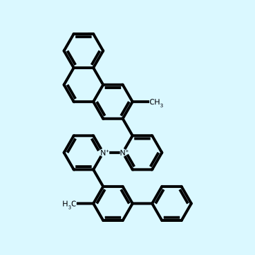 Cc1ccc(-c2ccccc2)cc1-c1cccc[n+]1-[n+]1ccccc1-c1cc2ccc3ccccc3c2cc1C